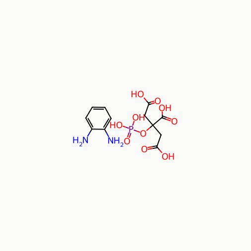 Nc1ccccc1N.O=C(O)CC(CC(=O)O)(OP(=O)(O)O)C(=O)O